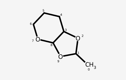 CC1OC2CCCOC2O1